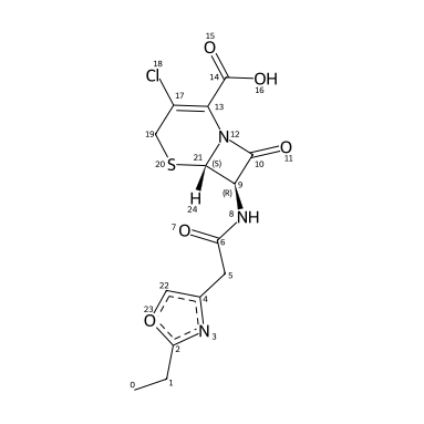 CCc1nc(CC(=O)N[C@@H]2C(=O)N3C(C(=O)O)=C(Cl)CS[C@@H]23)co1